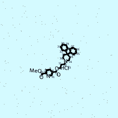 COC(=O)c1ccc(C(=O)OCCCN2CCC(c3ccccc3)(c3ccccc3)CC2)cn1.Cl